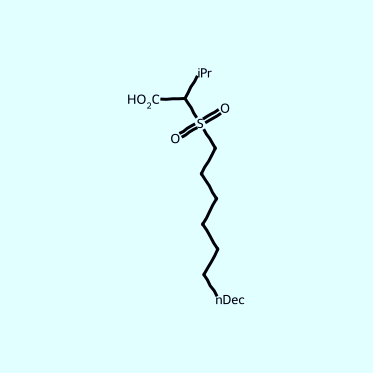 CCCCCCCCCCCCCCCCS(=O)(=O)C(C(=O)O)C(C)C